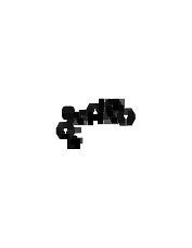 Cc1c(Br)cccc1C(=O)NCc1ccc(C(=O)Nc2ccccc2N)cc1